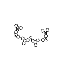 c1ccc2c(c1)c1cc(-c3ccc4sc5ccc(-n6c7ccccc7c7ccccc76)cc5c4c3)ccc1c1cc3sc4cc5c6ccc(-c7ccc8sc9ccc(-n%10c%11ccccc%11c%11ccccc%11%10)cc9c8c7)cc6c6ccccc6c5cc4c3cc21